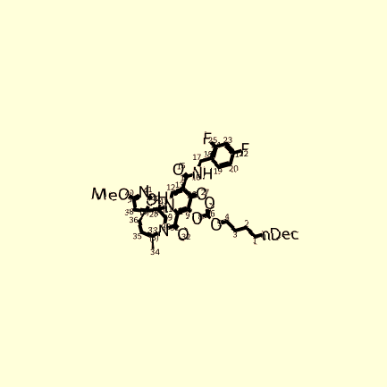 CCCCCCCCCCCCCCOC(=O)Oc1c2n(cc(C(=O)NCc3ccc(F)cc3F)c1=O)[C@@H]1CN(C2=O)[C@@H](C)CC[C@]12CC(OC)=NO2